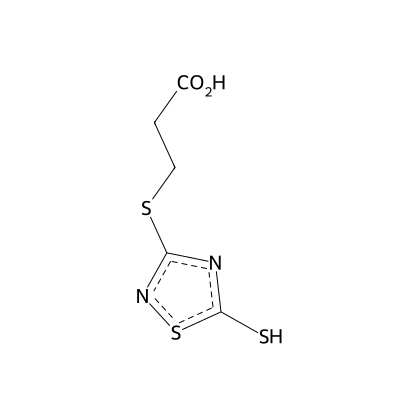 O=C(O)CCSc1nsc(S)n1